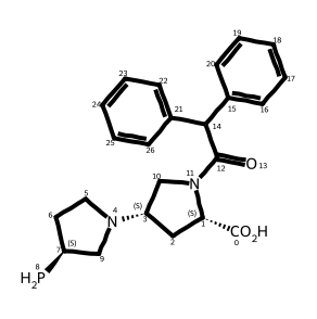 O=C(O)[C@@H]1C[C@H](N2CC[C@H](P)C2)CN1C(=O)C(c1ccccc1)c1ccccc1